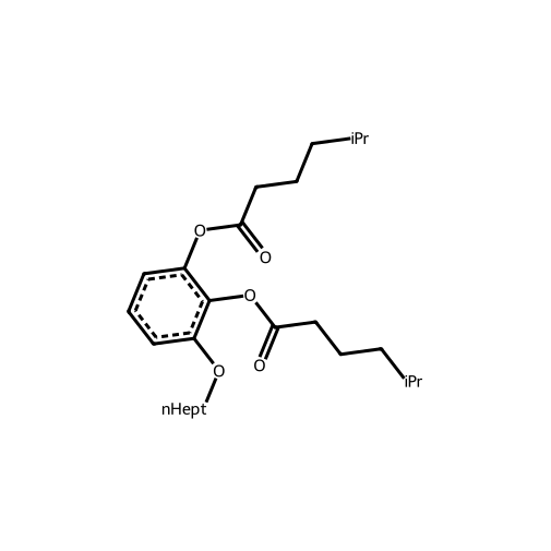 CCCCCCCOc1cccc(OC(=O)CCCC(C)C)c1OC(=O)CCCC(C)C